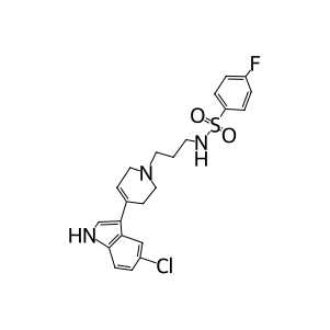 O=S(=O)(NCCCN1CC=C(c2c[nH]c3ccc(Cl)cc23)CC1)c1ccc(F)cc1